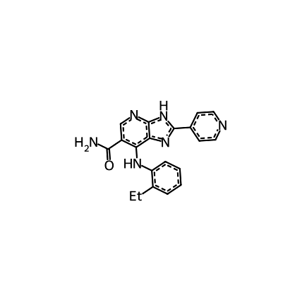 CCc1ccccc1Nc1c(C(N)=O)cnc2[nH]c(-c3ccncc3)nc12